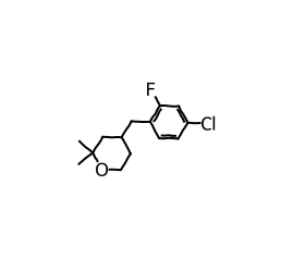 CC1(C)CC(Cc2ccc(Cl)cc2F)CCO1